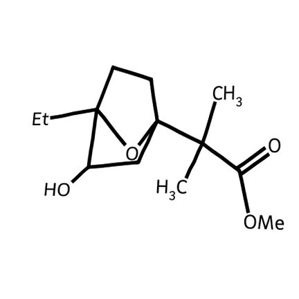 CCC12CCC(C(C)(C)C(=O)OC)(CC1O)O2